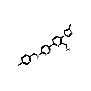 Cc1cn(-c2ccc(-c3ccc(NCc4ccc(F)cc4)nn3)nc2CO)cn1